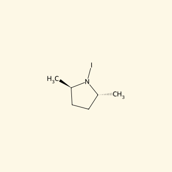 C[C@@H]1CC[C@@H](C)N1I